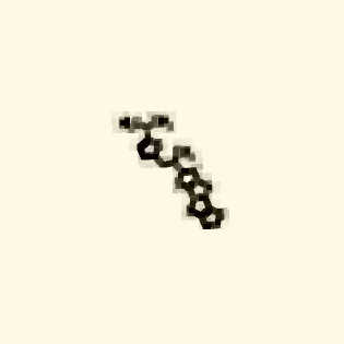 CC(C)c1ccc(CC(C)c2cc3sc4c5sccc5sc4c3s2)s1